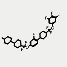 CC1CCC(C2CCC(C(F)(F)Oc3ccc(C4CCC(C(F)(F)Oc5cc(F)c(F)c(F)c5)CC4)c(F)c3)CC2)CC1